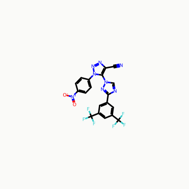 N#Cc1nnn(-c2ccc([N+](=O)[O-])cc2)c1-n1cnc(-c2cc(C(F)(F)F)cc(C(F)(F)F)c2)n1